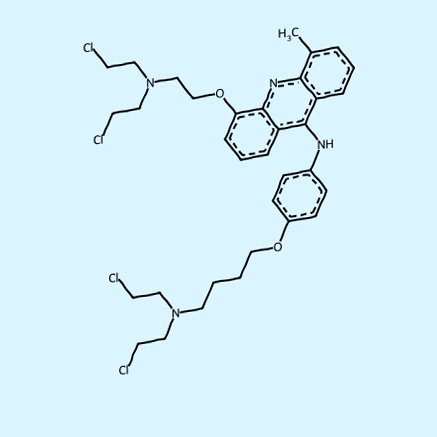 Cc1cccc2c(Nc3ccc(OCCCCN(CCCl)CCCl)cc3)c3cccc(OCCN(CCCl)CCCl)c3nc12